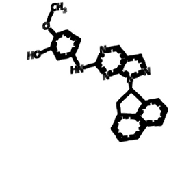 COc1ccc(Nc2ncc3cnn([C@@H]4Cc5cccc6cccc4c56)c3n2)cc1O